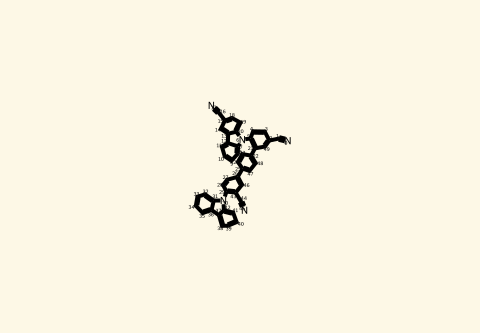 N#Cc1ccc(-n2c3ccccc3c3cc(C#N)ccc32)c(-c2ccc(-c3ccc(-n4c5ccccc5c5ccccc54)c(C#N)c3)cc2)c1